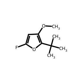 COc1cc(F)oc1C(C)(C)C